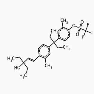 CCC(O)(C=Cc1ccc(C(CC)(CC)c2ccc(OS(=O)(=O)C(F)(F)F)c(C)c2)cc1C)CC